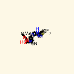 COCCOCCOC(CO)Cn1c(C#N)cc2cc(CN3CCC(Nc4ncnc5sc(CC(F)(F)F)cc45)CC3)ccc21